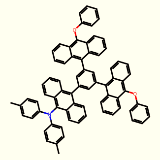 Cc1ccc(N(c2ccc(C)cc2)c2c3ccccc3c(-c3cc(-c4c5ccccc5c(Oc5ccccc5)c5ccccc45)cc(-c4c5ccccc5c(Oc5ccccc5)c5ccccc45)c3)c3ccccc23)cc1